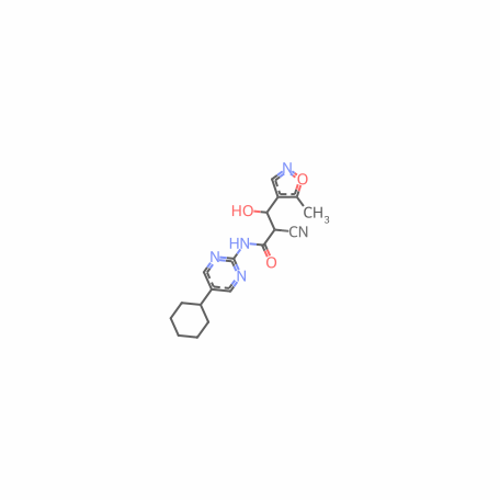 Cc1oncc1C(O)C(C#N)C(=O)Nc1ncc(C2CCCCC2)cn1